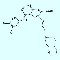 COc1cc2ncnc(Nc3ccc(F)c(Cl)c3)c2cc1OCCCN1CCC2CCCOC2C1